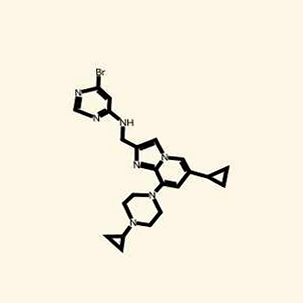 Brc1cc(NCc2cn3cc(C4CC4)cc(N4CCN(C5CC5)CC4)c3n2)ncn1